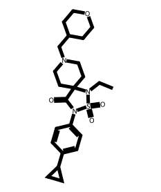 CCN1C2(CCN(CC3CCOCC3)CC2)C(=O)N(c2ccc(C3CC3)cc2)S1(=O)=O